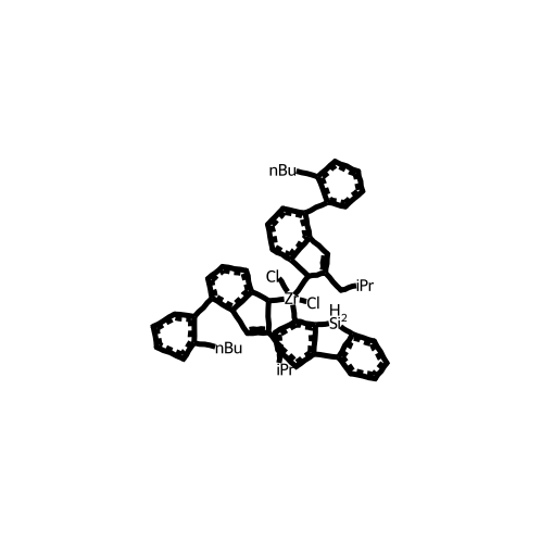 CCCCc1ccccc1-c1cccc2c1C=C(CC(C)C)[CH]2[Zr]([Cl])([Cl])([c]1cccc2c1[SiH2]c1ccccc1-2)[CH]1C(CC(C)C)=Cc2c(-c3ccccc3CCCC)cccc21